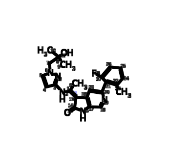 C/C(Nc1ccn(CC(C)(C)O)n1)=C1/C(=O)Nc2cnc(-c3c(C)cccc3F)cc21